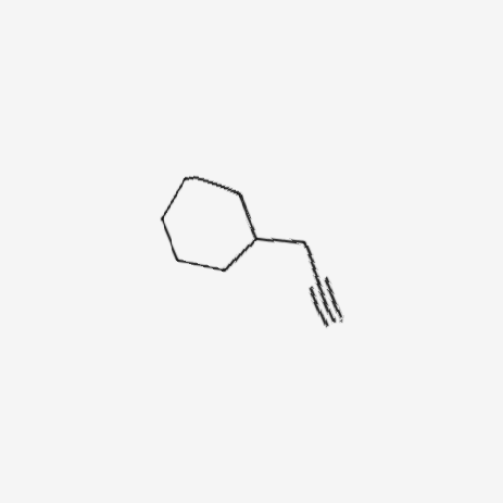 [C]#CCC1CCCCC1